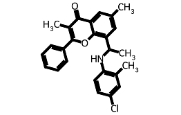 Cc1cc(C(C)Nc2ccc(Cl)cc2C)c2oc(-c3ccccc3)c(C)c(=O)c2c1